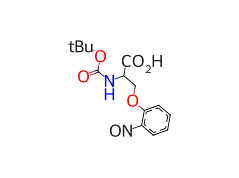 CC(C)(C)OC(=O)NC(COc1ccccc1N=O)C(=O)O